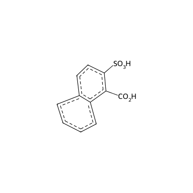 O=C(O)c1c(S(=O)(=O)O)ccc2ccccc12